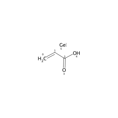 C=CC(=O)O.[Ge]